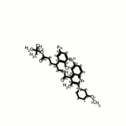 COC1CCCN(c2nc3ccc(Br)cc3c(C(=O)NCC(CCC(=O)OC(C)(C)C)c3cc(F)ccc3Cl)c2C)C1